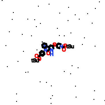 CC(C)(C)OC(=O)c1ccc(NC(=O)C2NCC(OC3CCN(C(=O)OC(C)(C)C)CC3)CC2C2CCCCC2)cc1